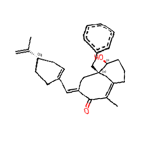 C=C(C)[C@@H]1CC=C(C=C2C[C@@]3(Cc4ccccc4)C(=C(C)C2=O)CCC[C@@H]3O)CC1